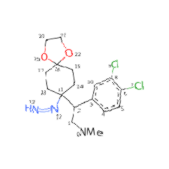 CNCC(c1ccc(Cl)c(Cl)c1)C1(N=N)CCC2(CC1)OCCO2